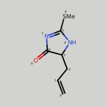 C=CCC1NC(SC)=NC1=O